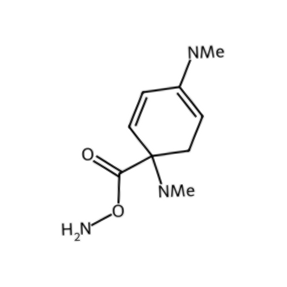 CNC1=CCC(NC)(C(=O)ON)C=C1